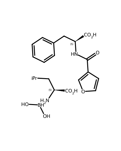 CC(C)C[C@H](N)C(=O)O.O=C(N[C@@H](Cc1ccccc1)C(=O)O)c1ccoc1.OBO